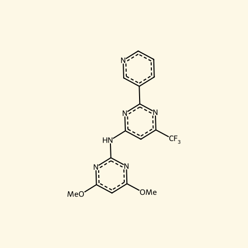 COc1cc(OC)nc(Nc2cc(C(F)(F)F)nc(-c3cccnc3)n2)n1